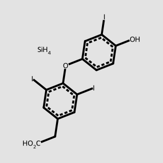 O=C(O)Cc1cc(I)c(Oc2ccc(O)c(I)c2)c(I)c1.[SiH4]